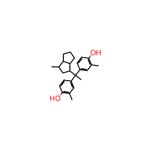 Cc1cc(C(C)(c2ccc(O)c(C)c2)C2CC(C)C3CCCC32)ccc1O